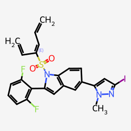 C=C/C=C(\C=C)S(=O)(=O)n1c(-c2c(F)cccc2F)cc2cc(-c3cc(I)nn3C)ccc21